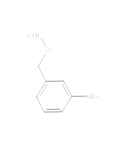 CCCCc1cccc(CO[C]=O)c1